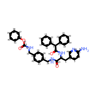 Nc1ccc(CC(NC(=O)C(c2ccccc2)c2ccccc2)C(=O)NCc2ccc(CNC(=O)Oc3ccccc3)cc2)cn1